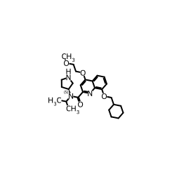 COCCOc1cc(C(=O)N(C(C)C)[C@H]2CCNC2)nc2c(OCC3CCCCC3)cccc12